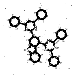 c1ccc(-c2cc(-c3ccccc3)nc(-c3cc(-c4nc(-c5ccccc5)nc(-c5ccccc5)n4)c4c(c3)sc3ccccc34)n2)cc1